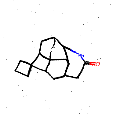 O=C1CC23CC4C5(CCC5)C5CC(CC54C2)C3N1